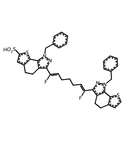 O=S(=O)(O)c1cc2c(s1)-c1c(c(/C(F)=C/CCC/C=C(\F)c3nn(Cc4ccccc4)c4c3CCc3ccsc3-4)nn1Cc1ccccc1)CC2